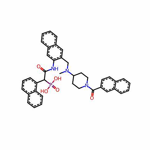 CN(Cc1cc2ccccc2cc1NC(=O)C(c1cccc2ccccc12)P(=O)(O)O)C1CCN(C(=O)c2ccc3ccccc3c2)CC1